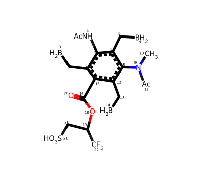 BCc1c(NC(C)=O)c(CB)c(N(C)C(C)=O)c(CB)c1C(=O)OC(CS(=O)(=O)O)C(F)(F)F